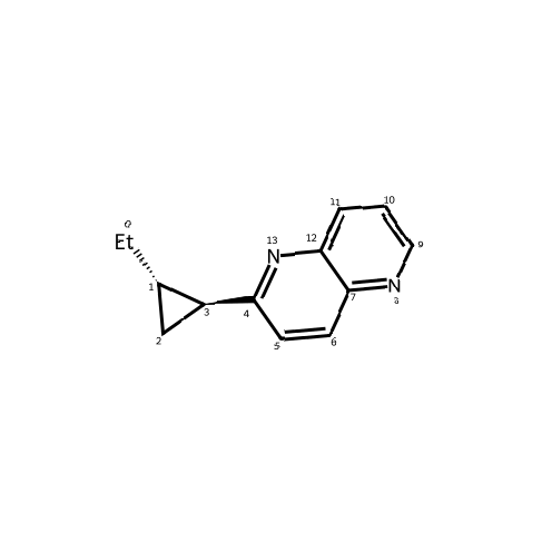 CC[C@H]1C[C@@H]1c1ccc2ncccc2n1